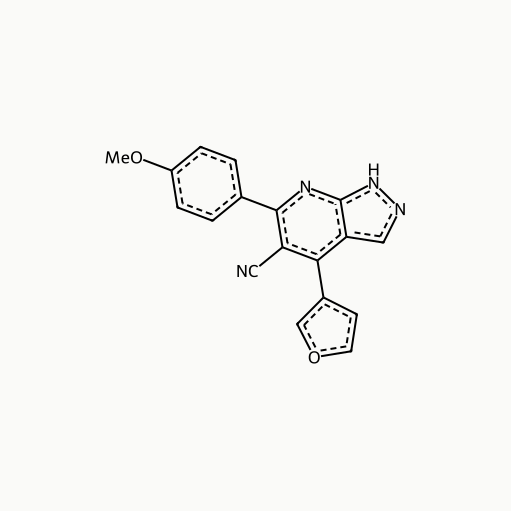 COc1ccc(-c2nc3[nH]ncc3c(-c3ccoc3)c2C#N)cc1